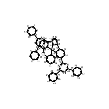 c1ccc(-c2cc(-c3ccccc3)nc(-c3cccc4c3C3(c5ccccc5Oc5ccccc53)c3cc(-c5nc(-c6ccccc6)nc(-c6ccccc6)n5)ccc3-4)n2)cc1